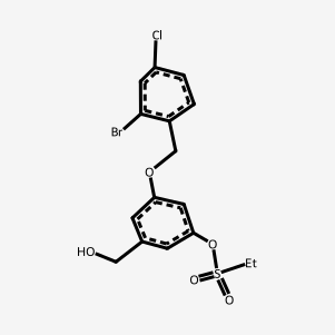 CCS(=O)(=O)Oc1cc(CO)cc(OCc2ccc(Cl)cc2Br)c1